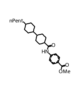 CCCCCC1CCC(C2CCC(C(=O)Nc3ccc(C(=O)OC)cc3)CC2)CC1